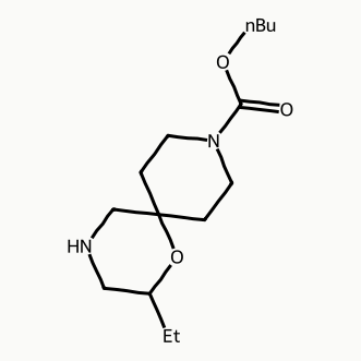 CCCCOC(=O)N1CCC2(CC1)CNCC(CC)O2